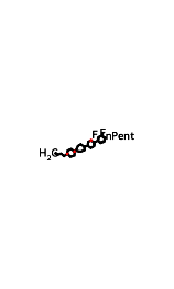 C=CCCC1CCC(C2CCC(C3CC=C(c4ccc(CCCCC)c(F)c4F)CC3)CC2)CC1